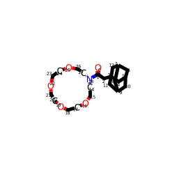 O=C(CC12CC3CC(CC(C3)C1)C2)N1CCOCCOCCOCCOCC1